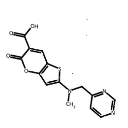 CN(Cc1ccncn1)c1cc2oc(=O)c(C(=O)O)cc2s1